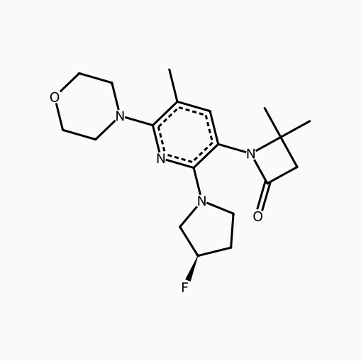 Cc1cc(N2C(=O)CC2(C)C)c(N2CC[C@@H](F)C2)nc1N1CCOCC1